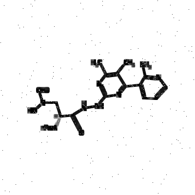 CCCCC[C@H](CN(O)C=O)C(=O)NNc1nc(C)c(C)c(-c2cccnc2N)n1